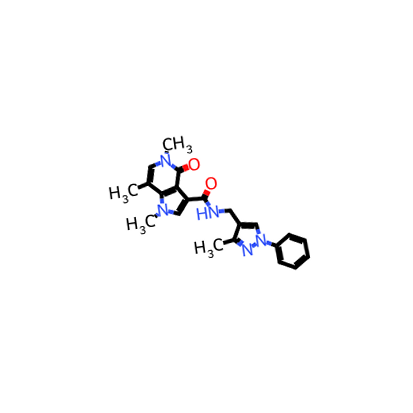 Cc1nn(-c2ccccc2)cc1CNC(=O)c1cn(C)c2c(C)cn(C)c(=O)c12